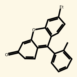 CCc1ccc2c(-c3ccccc3C)c3ccc(=O)cc-3oc2c1